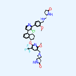 COc1cc(-c2nccc(-c3cccc4c3CCC[C@@H]4Oc3nc(OC)c(CN4CC5(CNC(=O)C5)C4)cc3C(F)(F)F)c2Cl)ccc1CNC[C@@H]1CCC(=O)N1